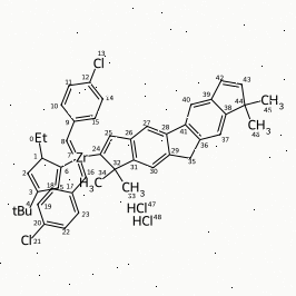 CCC1C=C(C(C)(C)C)C=[C]1[Zr](=[CH]c1ccc(Cl)cc1)(=[CH]c1ccc(Cl)cc1)[C]1=Cc2cc3c(cc2C1(C)C)Cc1cc2c(cc1-3)C=CC2(C)C.Cl.Cl